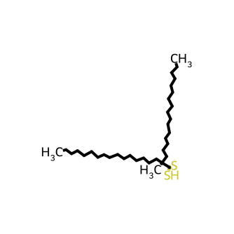 CCCCCCCCCCCCCCCCC(C)(CCCCCCCCCCCCCCCC)C(=S)S